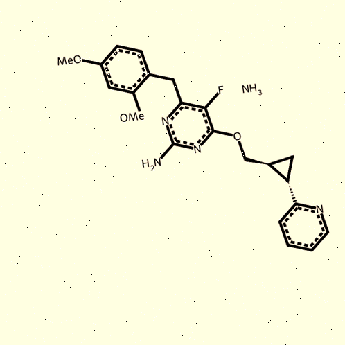 COc1ccc(Cc2nc(N)nc(OC[C@H]3C[C@@H]3c3ccccn3)c2F)c(OC)c1.N